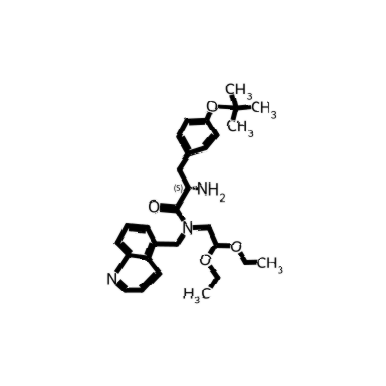 CCOC(CN(Cc1cccc2ncccc12)C(=O)[C@@H](N)Cc1ccc(OC(C)(C)C)cc1)OCC